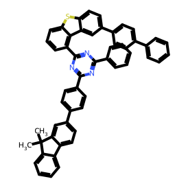 CC1(C)c2ccccc2-c2ccc(-c3ccc(-c4nc(-c5ccccc5)nc(-c5cccc6sc7ccc(-c8ccc(-c9ccccc9)cc8)cc7c56)n4)cc3)cc21